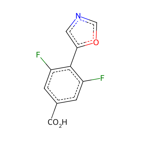 O=C(O)c1cc(F)c(-c2cnco2)c(F)c1